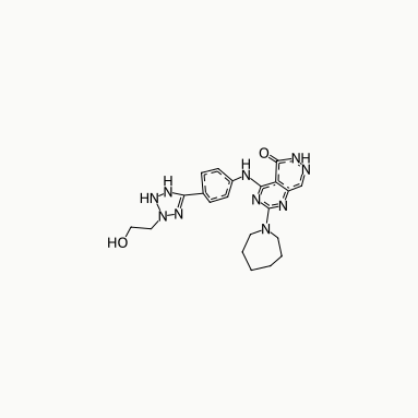 O=c1[nH]ncc2nc(N3CCCCCC3)nc(Nc3ccc(C4=NN(CCO)NN4)cc3)c12